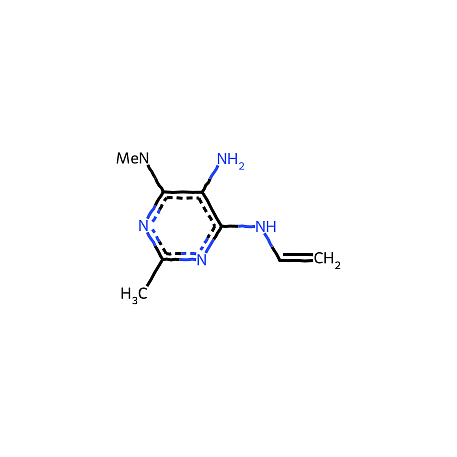 C=CNc1nc(C)nc(NC)c1N